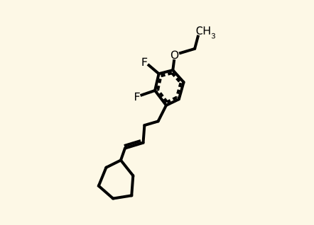 CCOc1ccc(CC/C=C/C2CCCCC2)c(F)c1F